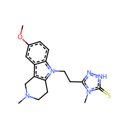 COc1ccc2c(c1)c1c(n2CCc2n[nH]c(=S)n2C)CCN(C)C1